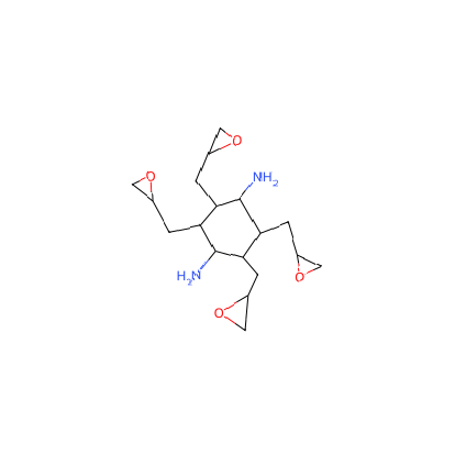 NC1C(CC2CO2)C(CC2CO2)C(N)C(CC2CO2)C1CC1CO1